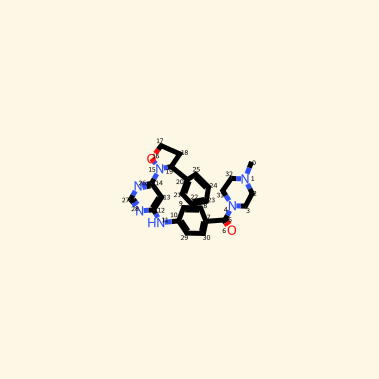 CN1CCN(C(=O)c2ccc(Nc3cc(N4OCCC4c4ccccc4)ncn3)cc2)CC1